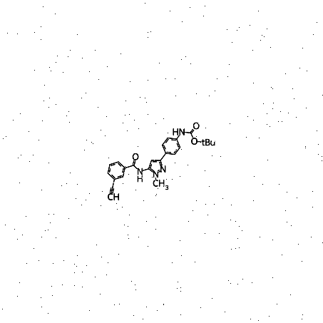 C#Cc1cccc(C(=O)Nc2cc(-c3ccc(NC(=O)OC(C)(C)C)cc3)nn2C)c1